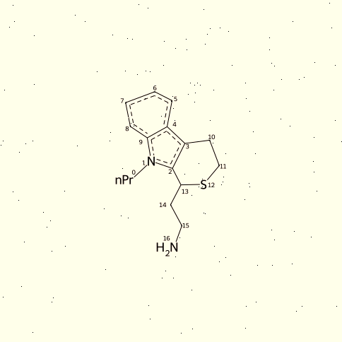 CCCn1c2c(c3ccccc31)CCSC2CCN